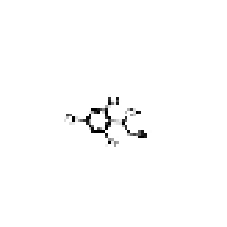 CCc1cc(CC)c(C(O)CBr)c(CC)c1